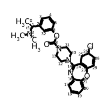 C[C@@H](c1cccc(OC(=O)N2CCN(C3=Nc4ccccc4OC4=C3CC(Cl)C=C4)CC2)c1)N(C)C